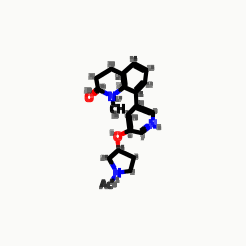 CC(=O)N1CC[C@H](Oc2cncc(-c3cccc4c3N(C)C(=O)CC4)c2)C1